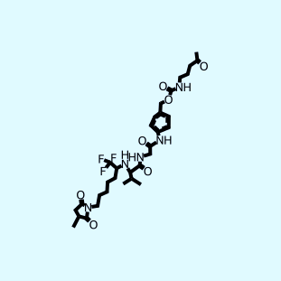 CC(=O)CCCNC(=O)OCc1ccc(NC(=O)CNC(=O)C(NC(CCCCCN2C(=O)CC(C)C2=O)C(F)(F)F)C(C)C)cc1